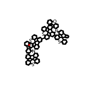 c1ccc2c(c1)Sc1ccccc1C21c2ccccc2-c2ccc(N(c3ccc4oc5ccccc5c4c3)c3cccc4c3-c3ccccc3C43c4ccccc4Sc4c(-c5ccc6c(c5)-c5ccc(N(c7cccc8c7-c7ccccc7C87c8ccccc8Sc8ccccc87)c7cccc8c7oc7ccccc78)cc5C65c6ccccc6Sc6ccccc65)cccc43)cc21